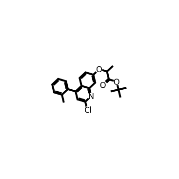 Cc1ccccc1-c1cc(Cl)nc2cc(OC(C)C(=O)OC(C)(C)C)ccc12